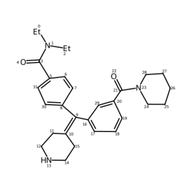 CCN(CC)C(=O)c1ccc(C(=C2CCNCC2)c2cccc(C(=O)N3CCCCC3)c2)cc1